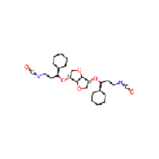 O=C=NCCC(O[C@H]1COC2C1OC[C@@H]2OC(CCN=C=O)C1CCCCC1)C1CCCCC1